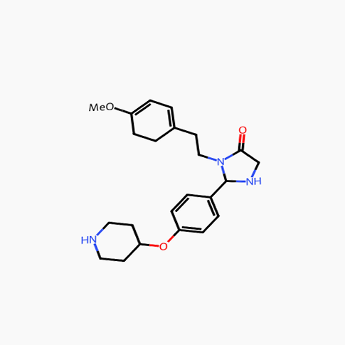 COC1=CC=C(CCN2C(=O)CNC2c2ccc(OC3CCNCC3)cc2)CC1